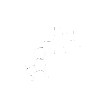 COC1C(O)C(O)C(Oc2ccc3c(c2)oc(=O)c2[nH]cnc23)OC1(C)C